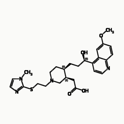 COc1ccc2nccc([C@H](O)CC[C@@H]3CCN(CCSc4nccn4C)C[C@@H]3CC(=O)O)c2c1